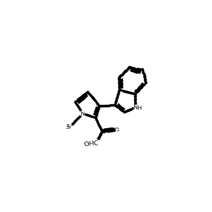 O=CC(=O)c1c(-c2c[nH]c3ccccc23)ccn1Br